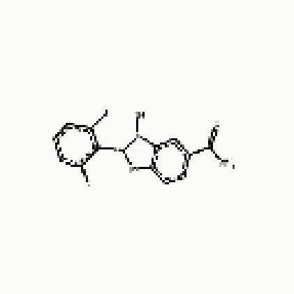 NC(=O)c1ccc2c(c1)N(O)C(c1c(F)cccc1F)O2